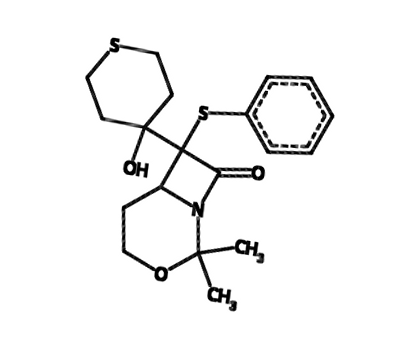 CC1(C)OCCC2N1C(=O)C2(Sc1ccccc1)C1(O)CCSCC1